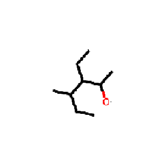 CCC(C)C(CC)C(C)[O]